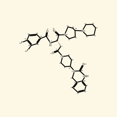 O=C(N[C@@H](CC(=O)N1CCC(N2Cc3ccccc3NC2=O)CC1)C(=O)N1CCC(N2CCCCC2)CC1)c1ccc(F)c(F)c1